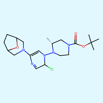 C[C@@H]1CN(C(=O)OC(C)(C)C)CCN1N1C=C(N2CC3CCC(C2)O3)N=CC1Cl